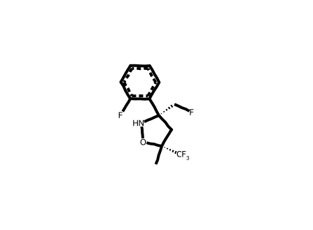 C[C@]1(C(F)(F)F)C[C@](CF)(c2ccccc2F)NO1